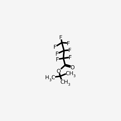 CC(C)(C)OC(=O)C(F)(F)C(F)(F)C(F)(F)F